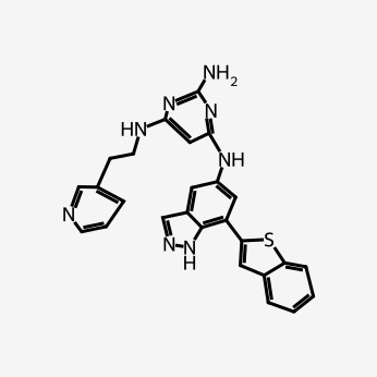 Nc1nc(NCCc2cccnc2)cc(Nc2cc(-c3cc4ccccc4s3)c3[nH]ncc3c2)n1